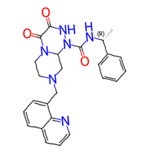 C[C@@H](NC(=O)N1NC(=O)C(=O)N2CCN(Cc3cccc4cccnc34)CC21)c1ccccc1